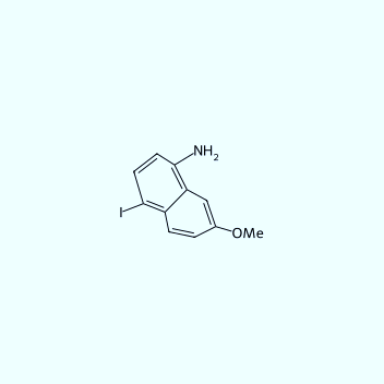 COc1ccc2c(I)ccc(N)c2c1